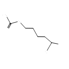 [NH]C(=O)NCCCCC(N)C(=O)O